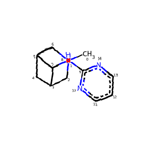 CN1CC2CC(C1)C2Nc1ncccn1